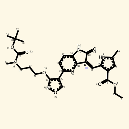 CCOC(=O)c1cc(C)[nH]c1/C=C1\C(=O)Nc2ccc(-c3conc3OCCCN(C)C(=O)OC(C)(C)C)nc21